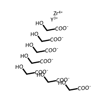 O=C([O-])CO.O=C([O-])CO.O=C([O-])CO.O=C([O-])CO.O=C([O-])CO.O=C([O-])CO.O=C([O-])CO.[Y+3].[Zr+4]